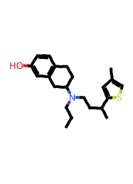 CCCN(CCC(C)c1cc(C)cs1)C1CCc2ccc(O)cc2C1